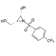 CCC[C@H]1[C@@H](CO)N1S(=O)(=O)c1ccc(C)cc1